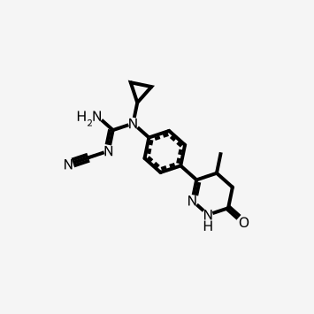 CC1CC(=O)NN=C1c1ccc(N(C(N)=NC#N)C2CC2)cc1